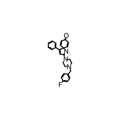 O=C1C=CC2(C=C1)N=C(N1CCN(Cc3ccc(F)cc3)CC1)C=C2c1ccccc1